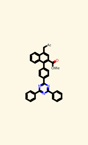 COC(=O)c1cc(CC(C)=O)c2ccccc2c1-c1ccc(-c2nc(-c3ccccc3)nc(-c3ccccc3)n2)cc1